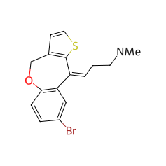 CNCC/C=C1/c2cc(Br)ccc2OCc2ccsc21